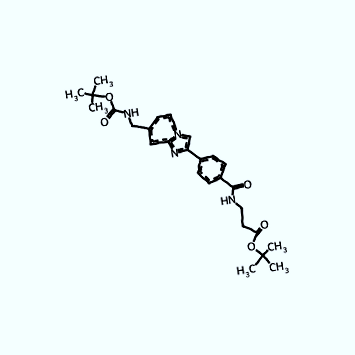 CC(C)(C)OC(=O)CCNC(=O)c1ccc(-c2cn3ccc(CNC(=O)OC(C)(C)C)cc3n2)cc1